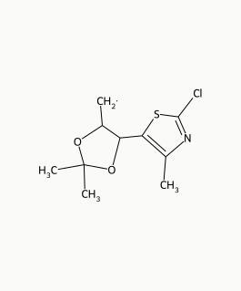 [CH2]C1OC(C)(C)OC1c1sc(Cl)nc1C